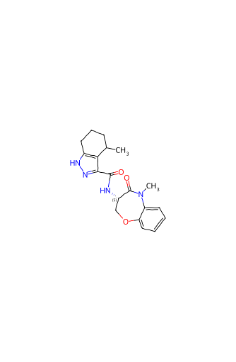 CC1CCCc2[nH]nc(C(=O)N[C@H]3COc4ccccc4N(C)C3=O)c21